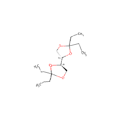 CCC1(CC)OC[C@@H]([C@H]2COC(CC)(CC)O2)O1